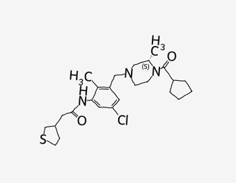 Cc1c(CN2CCN(C(=O)C3CCCC3)[C@@H](C)C2)cc(Cl)cc1NC(=O)CC1CCSC1